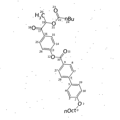 CCCCCCCCOc1ccc(-c2ccc(C(=O)Oc3ccc(C(=O)C(C)OC(=O)CCCC)cc3)cc2)cc1